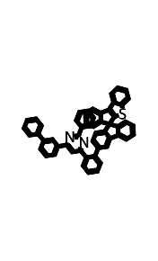 c1ccc(-c2cccc(-c3cc(-c4ccccc4-c4ccc5c(c4)-c4ccccc4C54c5ccccc5-c5c4sc4ccccc54)nc(-c4ccccc4)n3)c2)cc1